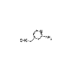 Nc1cc(CC=O)ccn1